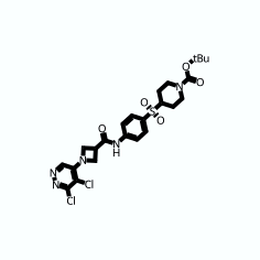 CC(C)(C)OC(=O)N1CCC(S(=O)(=O)c2ccc(NC(=O)C3CN(c4cnnc(Cl)c4Cl)C3)cc2)CC1